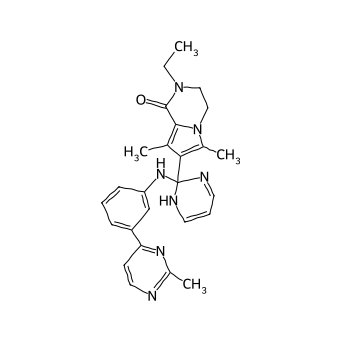 CCN1CCn2c(C)c(C3(Nc4cccc(-c5ccnc(C)n5)c4)N=CC=CN3)c(C)c2C1=O